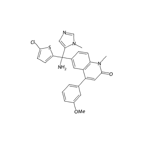 COc1cccc(-c2cc(=O)n(C)c3ccc(C(N)(c4ccc(Cl)s4)c4cncn4C)cc23)c1